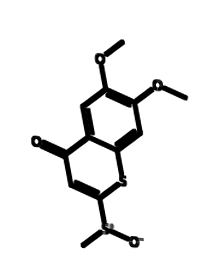 COc1cc2sc([S+](C)[O-])cc(=O)c2cc1OC